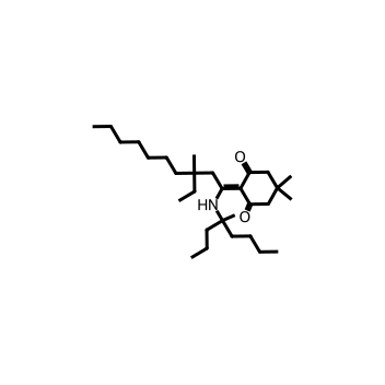 CCCCCCCC(C)(CC)CC(NC(C)(CCC)CCCC)=C1C(=O)CC(C)(C)CC1=O